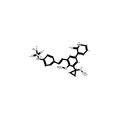 COc1c(/C=C/c2ccc(NS(C)(=O)=O)cc2)cc(-c2ccc[nH]c2=O)cc1C1(OC)CC1